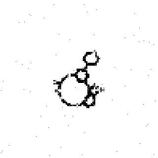 O=C1COc2cc(cc(C3CCOCC3)c2)-c2n[nH]c3ccc(cc23)OCCCN1